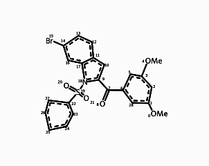 COc1cc(OC)cc(C(=O)c2cc3ccc(Br)cc3n2S(=O)(=O)c2ccccc2)c1